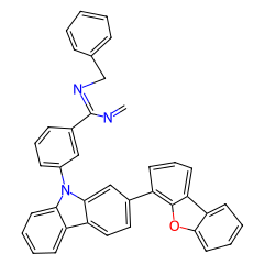 C=N/C(=N\Cc1ccccc1)c1cccc(-n2c3ccccc3c3ccc(-c4cccc5c4oc4ccccc45)cc32)c1